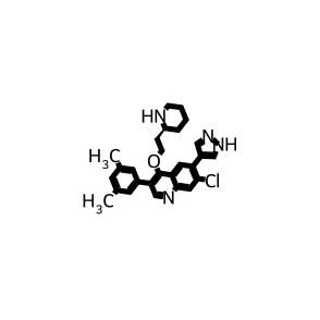 Cc1cc(C)cc(-c2cnc3cc(Cl)c(-c4cn[nH]c4)cc3c2OCC[C@@H]2CCCCN2)c1